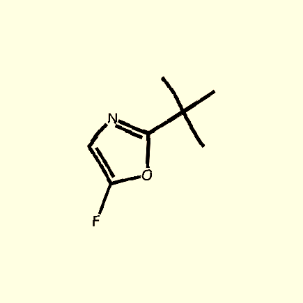 CC(C)(C)c1ncc(F)o1